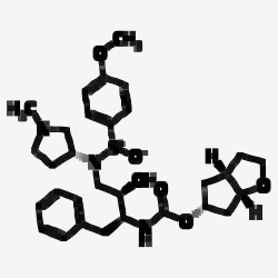 COc1ccc([S+]([O-])N(C[C@@H](O)[C@H](Cc2ccccc2)NC(=O)O[C@@H]2C[C@@H]3CCO[C@@H]3C2)[C@@H]2CCN(C)C2)cc1